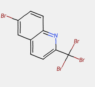 Brc1ccc2nc(C(Br)(Br)Br)ccc2c1